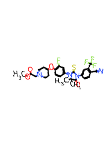 COC(=O)CN1CCC(Oc2ccc(N3C(=S)N(c4ccc(C#N)c(C(F)(F)F)c4)C(=O)C3(C)C)cc2F)CC1